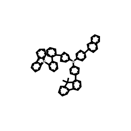 CC1(C)c2ccccc2-c2cccc(-c3ccc(N(c4ccc(-c5ccc6ccccc6c5)cc4)c4ccc(-c5ccccc5-c5ccccc5-n5c6ccccc6c6ccccc65)cc4)cc3)c21